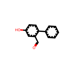 O=Cc1cc(O)ccc1-c1ccccc1